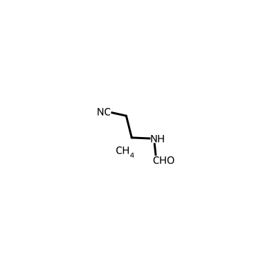 C.N#CCCNC=O